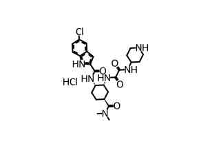 CN(C)C(=O)[C@H]1CC[C@H](NC(=O)c2cc3cc(Cl)ccc3[nH]2)[C@H](NC(=O)C(=O)NC2CCNCC2)C1.Cl